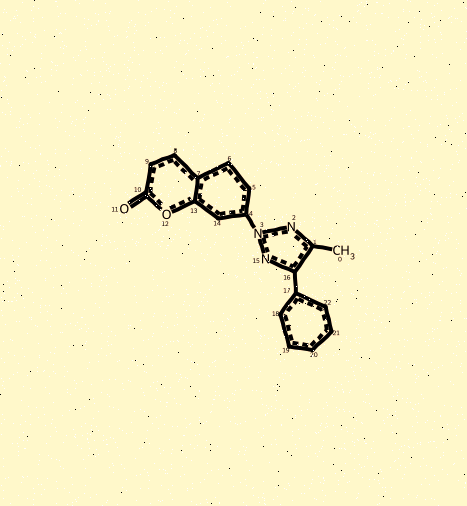 Cc1nn(-c2ccc3ccc(=O)oc3c2)nc1-c1ccccc1